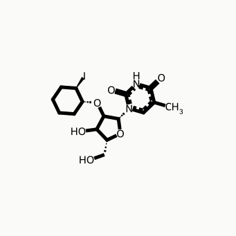 Cc1cn([C@@H]2O[C@H](CO)C(O)C2O[C@@H]2CCCC[C@H]2I)c(=O)[nH]c1=O